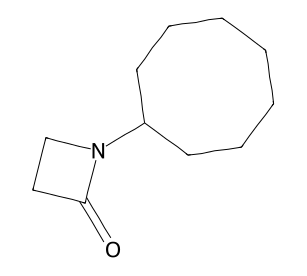 O=C1CCN1C1CCCCCCC1